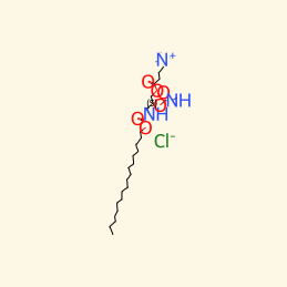 CCCCCCCCCCCCCCCCCCOC(=O)NC[C@@H](COC(=O)CCC[N+](C)(C)C)OC(=O)NC.[Cl-]